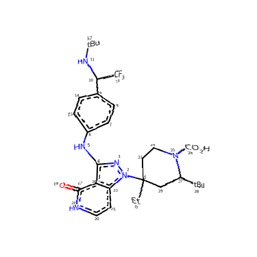 CCC1(n2nc(Nc3ccc(C(NC(C)(C)C)C(F)(F)F)cc3)c3c(=O)[nH]ccc32)CCN(C(=O)O)C(C(C)(C)C)C1